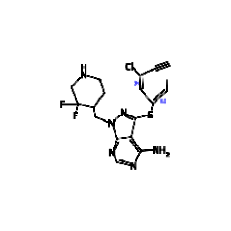 C#C/C(Cl)=C\C(=C/C)Sc1nn(CC2CCNCC2(F)F)c2ncnc(N)c12